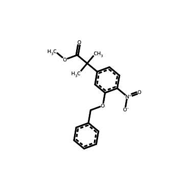 COC(=O)C(C)(C)c1ccc([N+](=O)[O-])c(OCc2ccccc2)c1